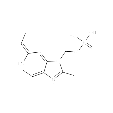 C\C=C(N)/N=C1\C(=C/C)N=C(C)N1COP(=O)(O)O